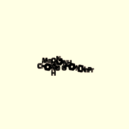 CCCN1CCN(c2ccc(C(=O)Nc3cnc(OC)c(S(=O)(=O)Nc4ccc(Cl)cc4)c3)cc2)CC1